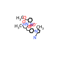 CCCC(Cc1ccc(-n2c(C)ccc2C#N)cc1)C(=O)Nc1c(C(=O)OC)cccc1[N+](=O)[O-]